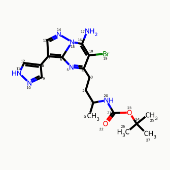 CC(CCc1nc2c(-c3cn[nH]c3)cnn2c(N)c1Br)NC(=O)OC(C)(C)C